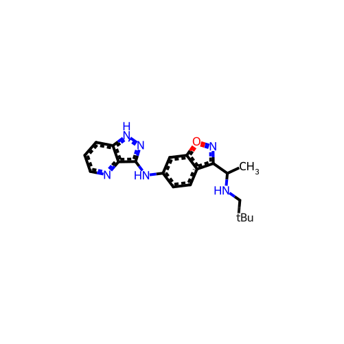 CC(NCC(C)(C)C)c1noc2cc(Nc3n[nH]c4cccnc34)ccc12